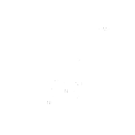 COc1ccc(-c2ccc(/C=C3\NC(=O)N(CC(=O)Nc4ccccc4)C3=O)s2)cc1